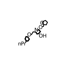 CCCc1ccc(OCCc2cc(O)cc(OCC3CCCCO3)n2)cc1